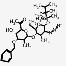 CCC1O[C@@H](O[Si](C)(C)C(C)(C)C(C)C)C(N=[N+]=[N-])[C@@H](C)[C@@H]1O[C@@H]1OC(C(C)=O)[C@@H](O)[C@@H](OCc2ccccc2)C1C